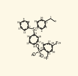 CCc1ccc([S+](c2ccccc2)c2ccccc2)cc1.O=S(=O)([O-])c1ccc(F)cc1F